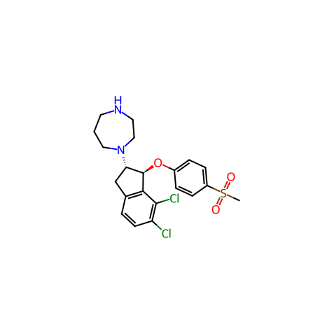 CS(=O)(=O)c1ccc(O[C@H]2c3c(ccc(Cl)c3Cl)C[C@@H]2N2CCCNCC2)cc1